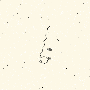 Br.CCCCCCCCCCC1(C)CNCCO1